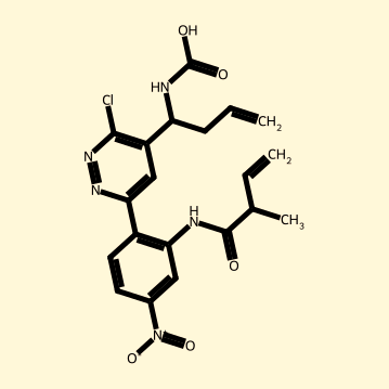 C=CCC(NC(=O)O)c1cc(-c2ccc([N+](=O)[O-])cc2NC(=O)C(C)C=C)nnc1Cl